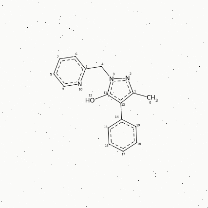 Cc1nn(Cc2ccccn2)c(O)c1-c1ccccc1